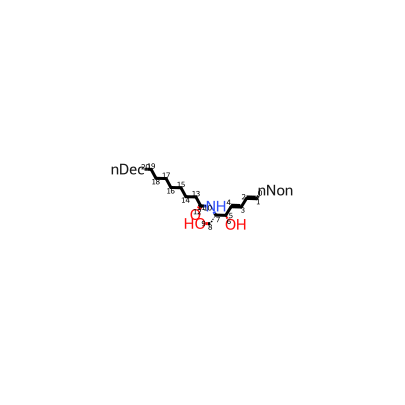 CCCCCCCCC/C=C/C=C/[C@@H](O)[C@H](CO)NC(=O)CCCCCCCCCCCCCCCCC